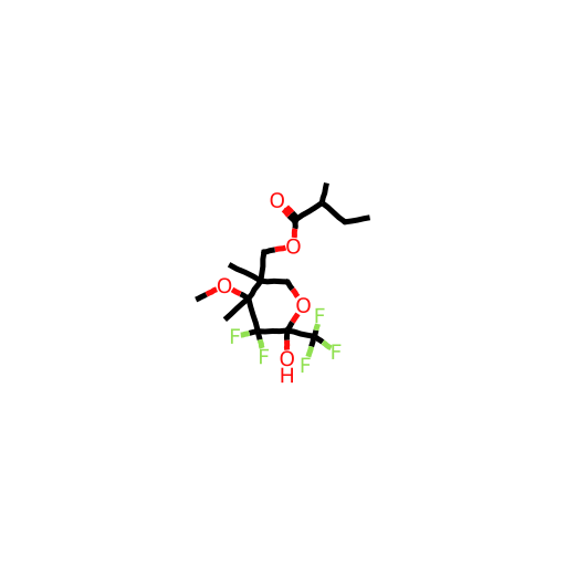 CCC(C)C(=O)OCC1(C)COC(O)(C(F)(F)F)C(F)(F)C1(C)OC